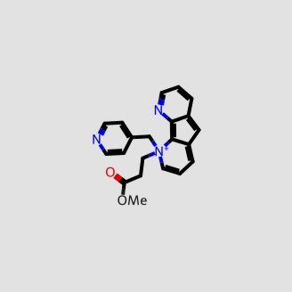 COC(=O)CC[N+]1(Cc2ccncc2)C=CC=C2C=c3cccnc3=C21